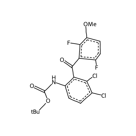 COc1ccc(F)c(C(=O)c2c(NC(=O)OC(C)(C)C)ccc(Cl)c2Cl)c1F